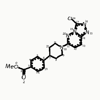 COC(=O)c1ccc(C2CCN(c3ccc4nnc(Cl)n4n3)CC2)cc1